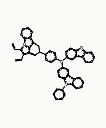 C=Cc1c(C=C)n2c3c(c4ccccc42)CC(c2ccc(N(c4ccc5oc6ccccc6c5c4)c4ccc5c(c4)c4ccccc4n5-c4ccccc4)cc2)C=c13